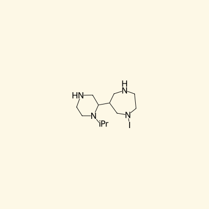 CC(C)N1CCNCC1C1CNCCN(I)C1